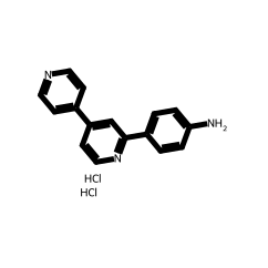 Cl.Cl.Nc1ccc(-c2cc(-c3ccncc3)ccn2)cc1